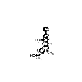 COC[C@H](Nc1nc(N)n2nc(-c3ccco3)nc2n1)C(=O)N1CCN(CC(C)(C)O)CC1